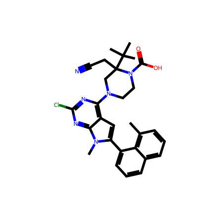 Cc1cccc2cccc(-c3cc4c(N5CCN(C(=O)O)C(CC#N)(C(C)(C)C)C5)nc(Cl)nc4n3C)c12